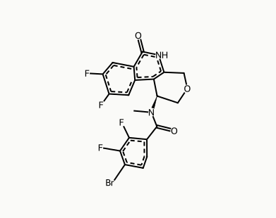 CN(C(=O)c1ccc(Br)c(F)c1F)[C@@H]1COCc2[nH]c(=O)c3cc(F)c(F)cc3c21